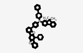 CC1(C)c2ccccc2-c2ccc(N(C3=CCC(c4ccccc4)C=C3)c3ccc(-c4cccc5c4oc4c(C6=CC=CCC6)c6c(cc45)oc4ccccc46)cc3)cc21